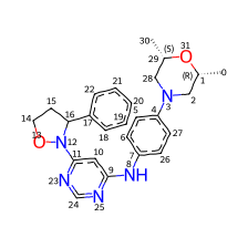 C[C@@H]1CN(c2ccc(Nc3cc(N4OCCC4c4ccccc4)ncn3)cc2)C[C@H](C)O1